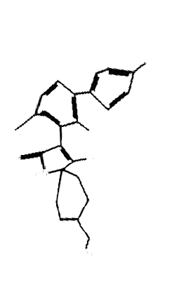 Cc1ccc(-c2ccc(F)cc2)c(C)c1C1=C(O)C2(CCC(CO)CC2)NC1=O